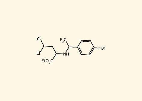 CCOC(=O)C(CC(Cl)Cl)NC(c1ccc(Br)cc1)C(F)(F)F